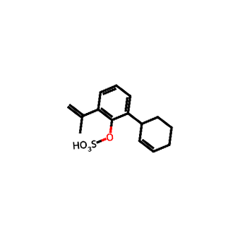 C=C(C)c1cccc(C2C=CCCC2)c1OS(=O)(=O)O